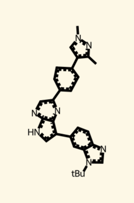 Cc1nn(C)cc1-c1ccc(-c2cnc3[nH]cc(-c4ccc5ncn(C(C)(C)C)c5c4)c3n2)cc1